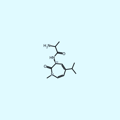 CC(C)C1=C[C@H](NC(=O)C(C)N)C(=O)N(C)C=C1